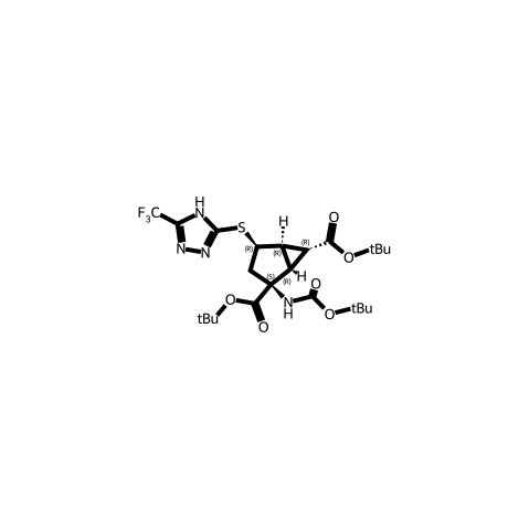 CC(C)(C)OC(=O)N[C@@]1(C(=O)OC(C)(C)C)C[C@@H](Sc2nnc(C(F)(F)F)[nH]2)[C@H]2[C@H](C(=O)OC(C)(C)C)[C@H]21